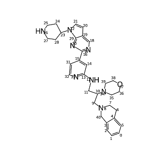 c1ccc2c(c1)CCN(CC(CNc1cc(-c3ncc4ccn(C5CCNCC5)c4n3)ccn1)N1CCOCC1)C2